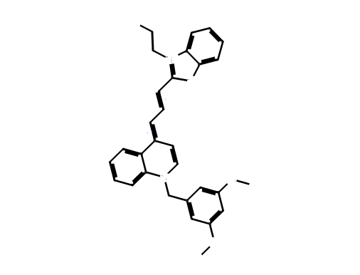 COc1cc(CN2C=C/C(=C\C=C\c3sc4ccccc4[n+]3CC[O-])c3ccccc32)cc(OC)c1